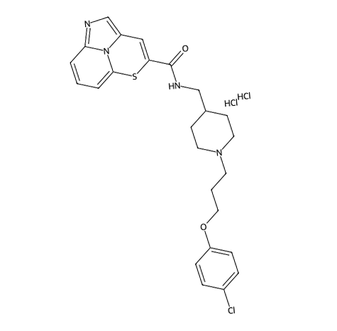 Cl.Cl.O=C(NCC1CCN(CCCOc2ccc(Cl)cc2)CC1)C1=Cc2cnc3cccc(n23)S1